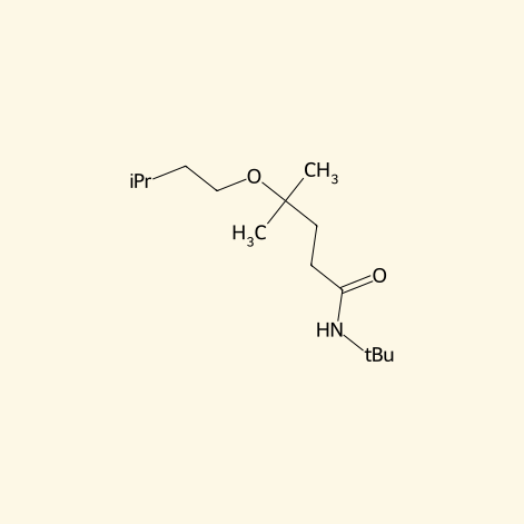 CC(C)CCOC(C)(C)CCC(=O)NC(C)(C)C